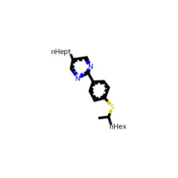 CCCCCCCc1cnc(-c2ccc(SC(C)CCCCCC)cc2)nc1